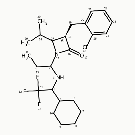 CCC(NC(C1CCCCC1)C(F)(F)F)N1C(=O)[C@H](Cc2ccccc2Cl)C1C(C)C